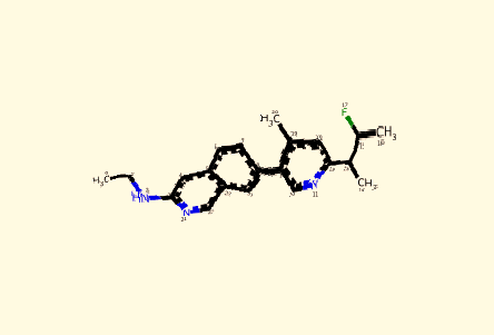 CCNc1cc2ccc(-c3cnc(C(C)C(C)F)cc3C)cc2cn1